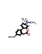 COc1ccc2c(c1)CC(=O)Oc1cc(N(C)C)ccc1-2